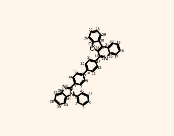 c1ccc(-n2c(-c3ccc(-c4ccc(-c5nc6ccccc6c6c5oc5ccccc56)cc4)cc3)nc3ccccc32)cc1